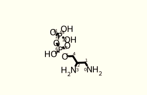 NCC(N)COP(=O)(O)OP(=O)(O)O